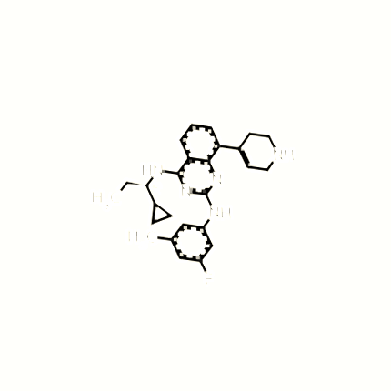 CC[C@@H](Nc1nc(Nc2cc(C)cc(F)c2)nc2c(C3=CCNCC3)cccc12)C1CC1